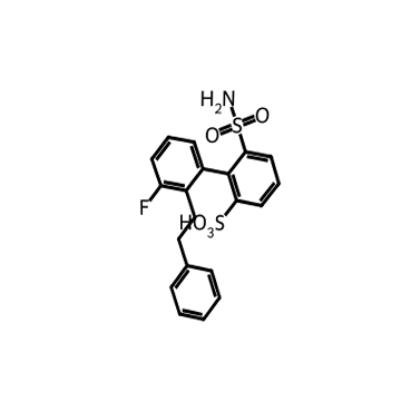 NS(=O)(=O)c1cccc(S(=O)(=O)O)c1-c1cccc(F)c1CCc1ccccc1